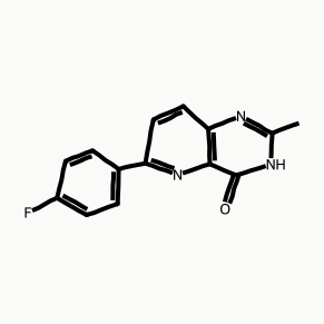 Cc1nc2ccc(-c3ccc(F)cc3)nc2c(=O)[nH]1